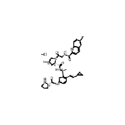 C[C@H](NC(=O)[C@@H]1C[C@@H](F)CN1C(=O)CNC(=O)c1ccc2cc(F)ccc2n1)c1cc(NC(=O)[C@@H]2CCCN2)ccc1/C=C/C1CC1.Cl